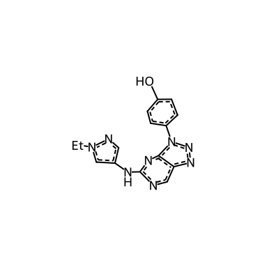 CCn1cc(Nc2ncc3nnn(-c4ccc(O)cc4)c3n2)cn1